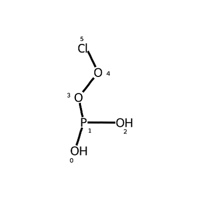 OP(O)OOCl